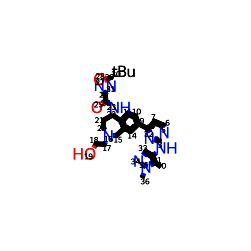 Cc1c(Nc2nccc(-c3ccc4c(c3)CN(CCO)CCC4NC(=O)c3noc(C(C)(C)C)n3)n2)cnn1C